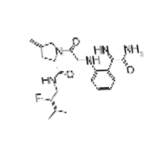 C=C1C[C@@H](C(=O)NCC(F)=C(C)C)N(C(=O)CNc2ccccc2C(=N)C(N)=O)C1